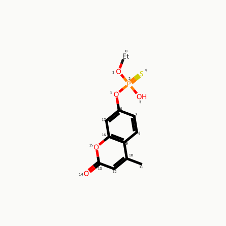 CCOP(O)(=S)Oc1ccc2c(C)cc(=O)oc2c1